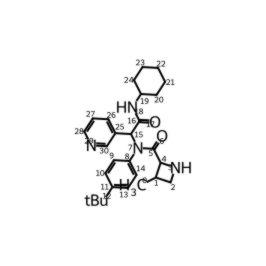 CC1CNC1C(=O)N(c1ccc(C(C)(C)C)cc1)C(C(=O)NC1CCCCC1)c1cccnc1